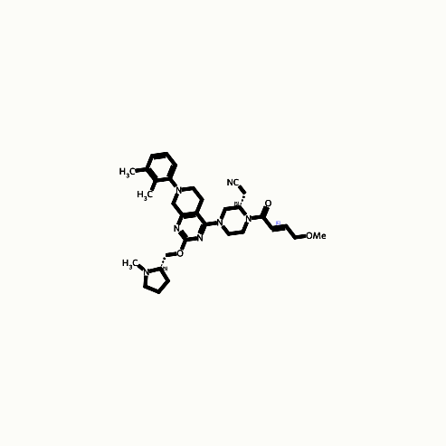 COC/C=C/C(=O)N1CCN(c2nc(OC[C@@H]3CCCN3C)nc3c2CCN(c2cccc(C)c2C)C3)C[C@@H]1CC#N